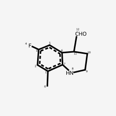 Cc1cc(F)cc2c1NCCC2C=O